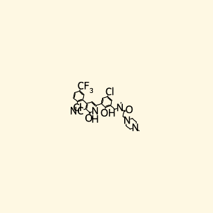 CN1CCN(CC(=O)N(C)Cc2cc(Cl)cc(-c3cc(-c4cc(C(F)(F)F)ccc4Cl)c(C#N)c(=O)[nH]3)c2O)CC1